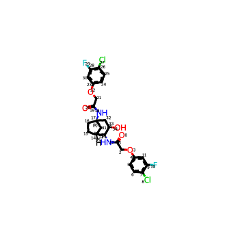 O=C(COc1ccc(Cl)c(F)c1)N[C@@H]1[C@@H]2CC[C@@](NC(=O)COc3ccc(Cl)c(F)c3)(C2)C[C@H]1O